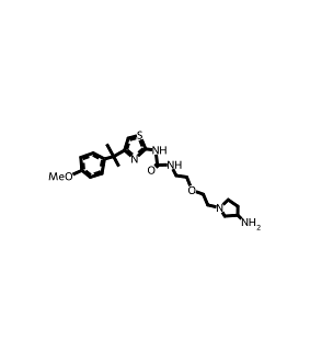 COc1ccc(C(C)(C)c2csc(NC(=O)NCCOCCN3CCC(N)C3)n2)cc1